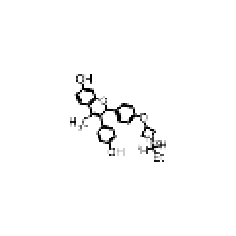 [2H]C([2H])(CC)N1CC(Oc2ccc(C3Oc4cc(O)ccc4C(C)=C3c3ccc(O)cc3)cc2)C1